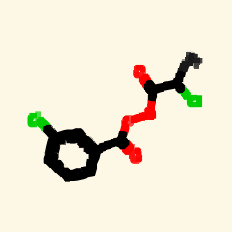 CC(C)C(Cl)C(=O)OOC(=O)c1cccc(Cl)c1